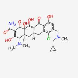 CN(Cc1cc(O)c2c(c1Cl)C[C@H]1C[C@H]3[C@H](N(C)C)C(O)=C(C(N)=O)C(=O)C3(O)C(O)=C1C2=O)CC1CC1